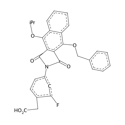 CC(C)Oc1c2c(c(OCc3ccccc3)c3ccccc13)C(=O)N(c1ccc(CC(=O)O)c(F)c1)C2=O